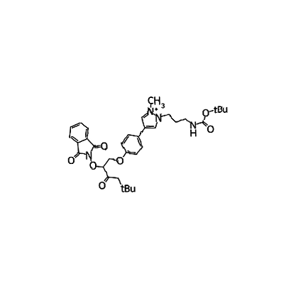 C[n+]1cc(-c2ccc(OCC(ON3C(=O)c4ccccc4C3=O)C(=O)CC(C)(C)C)cc2)cn1CCCNC(=O)OC(C)(C)C